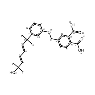 CC(C)(O)/C=C/C=C/C(C)(C)c1cccc(OCc2ccc(C(=O)O)c(C(=O)O)c2)c1